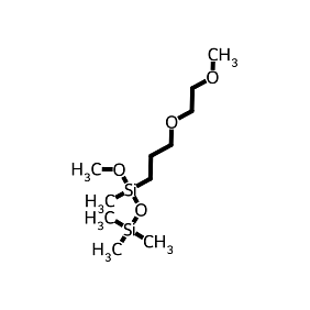 COCCOCCC[Si](C)(OC)O[Si](C)(C)C